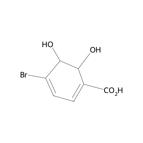 O=C(O)C1=CC=C(Br)C(O)C1O